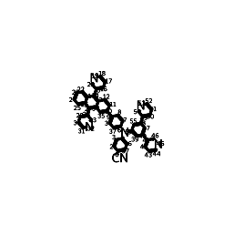 N#Cc1ccc(N(c2ccc(-c3ccc4c(-c5cccnc5)c5ccccc5c(-c5cccnc5)c4c3)cc2)c2cc(-c3cccnc3)cc(-c3cccnc3)c2)cc1